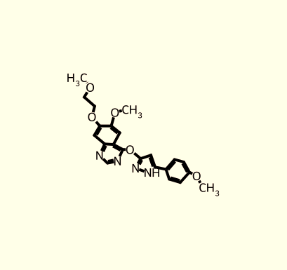 COCCOc1cc2ncnc(Oc3cc(-c4ccc(OC)cc4)[nH]n3)c2cc1OC